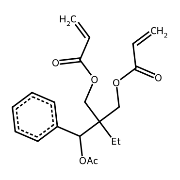 C=CC(=O)OCC(CC)(COC(=O)C=C)C(OC(C)=O)c1ccccc1